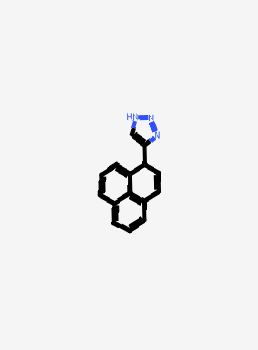 C1=CC(c2c[nH]nn2)c2cccc3cccc1c23